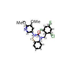 COc1cc(N2Sc3ccccc3N(Cc3c(F)cc(F)cc3Cl)C2=O)cnc1OC